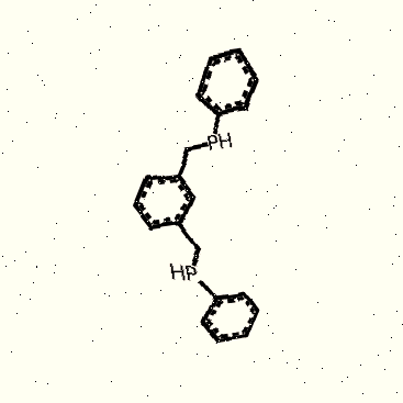 c1ccc(PCc2cccc(CPc3ccccc3)c2)cc1